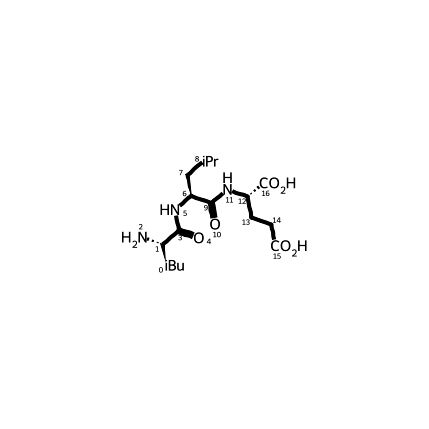 CC[C@H](C)[C@H](N)C(=O)N[C@@H](CC(C)C)C(=O)N[C@@H](CCC(=O)O)C(=O)O